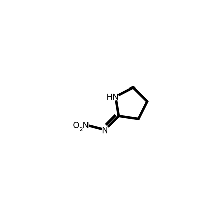 O=[N+]([O-])/N=C1/CCCN1